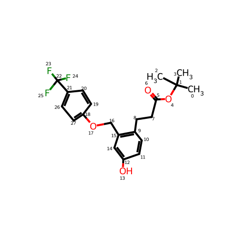 CC(C)(C)OC(=O)CCc1ccc(O)cc1COc1ccc(C(F)(F)F)cc1